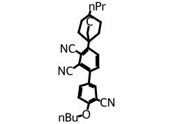 CCCCOc1ccc(-c2ccc(C34CCC(CCC)(CC3)CC4)c(C#N)c2C#N)cc1C#N